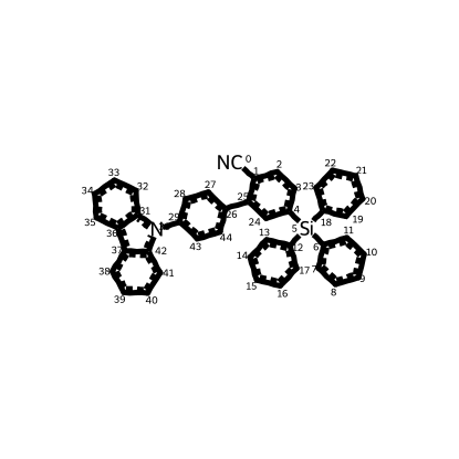 N#Cc1ccc([Si](c2ccccc2)(c2ccccc2)c2ccccc2)cc1-c1ccc(-n2c3ccccc3c3ccccc32)cc1